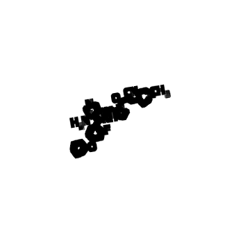 CN1CCC(C=C(C#N)C(=O)N2CCC[C@H]2CN2NC(c3ccc(Oc4ccccc4)cc3F)=C3C2=CN=CN3N)CC1